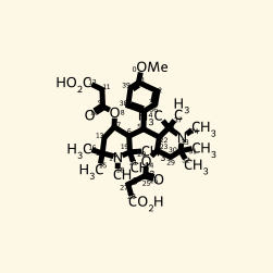 COc1ccc(C(C2C(OC(=O)CC(=O)O)CC(C)(C)N(C)C2(C)C)C2C(OC(=O)CC(=O)O)CC(C)(C)N(C)C2(C)C)cc1